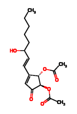 CCCCCC(O)C=CC1=CC(=O)[C@H](OC(C)=O)[C@H]1OC(C)=O